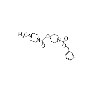 CN1CCN(C(=O)C2CC23CCN(C(=O)OCc2ccccc2)CC3)CC1